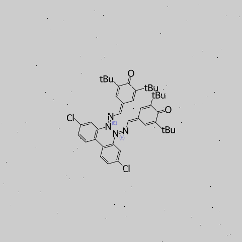 CC(C)(C)C1=CC(=C/N=N/c2cc(Cl)ccc2-c2ccc(Cl)cc2/N=N/C=C2C=C(C(C)(C)C)C(=O)C(C(C)(C)C)=C2)C=C(C(C)(C)C)C1=O